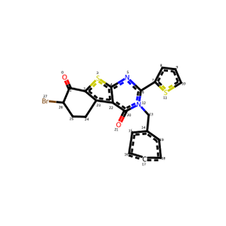 O=C1c2sc3nc(-c4cccs4)n(Cc4ccccc4)c(=O)c3c2CCC1Br